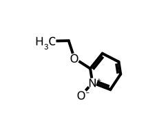 CCOc1cccc[n+]1[O-]